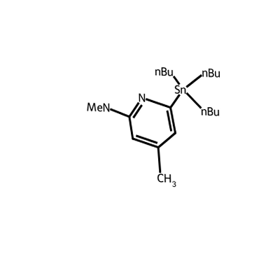 CCC[CH2][Sn]([CH2]CCC)([CH2]CCC)[c]1cc(C)cc(NC)n1